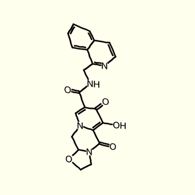 O=C(NCc1nccc2ccccc12)c1cn2c(c(O)c1=O)C(=O)N1CCOC1C2